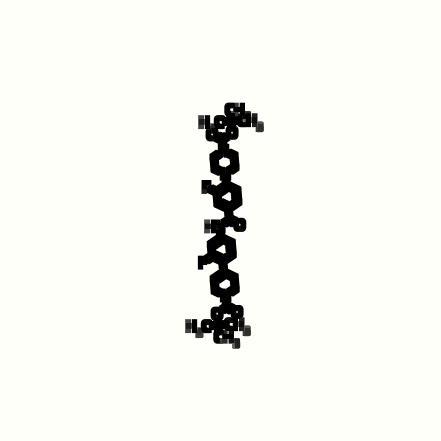 CC(C)(C)OC(=O)N1CC=C(c2ccc(NC(=O)c3ccc(N4CCN(C(=O)OC(C)(C)C)CC4)c(F)c3)cc2F)CC1